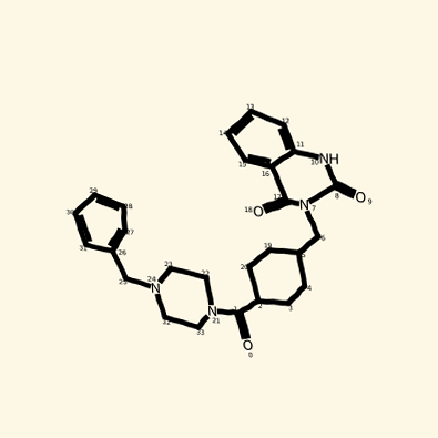 O=C(C1CCC(Cn2c(=O)[nH]c3ccccc3c2=O)CC1)N1CCN(Cc2ccccc2)CC1